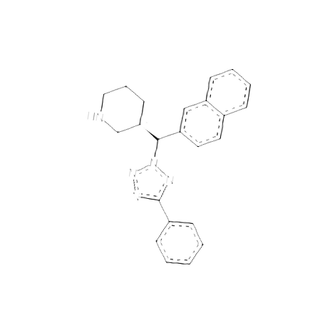 c1ccc(-c2nnn(C(c3ccc4ccccc4c3)[C@@H]3CCCNC3)n2)cc1